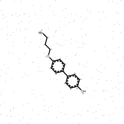 CC(C)(C)CCCOc1ccc(-c2ccc(O)cc2)cc1